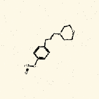 O=[PH2]Oc1ccc(CCCN2CCOCC2)cc1